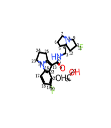 O=C(NC[C@@]12CCCN1C[C@H](F)C2)c1c2n(c3ccc(F)cc13)CCC2.O=CO